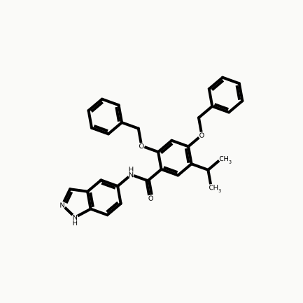 CC(C)c1cc(C(=O)Nc2ccc3[nH]ncc3c2)c(OCc2ccccc2)cc1OCc1ccccc1